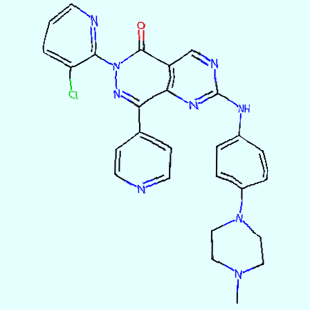 CN1CCN(c2ccc(Nc3ncc4c(=O)n(-c5ncccc5Cl)nc(-c5ccncc5)c4n3)cc2)CC1